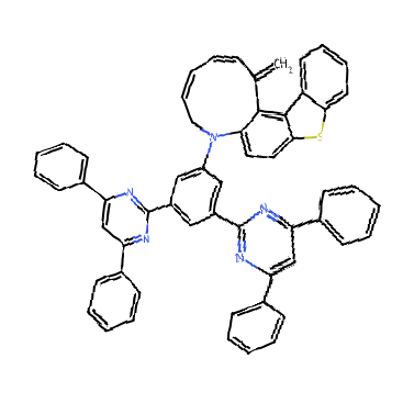 C=C1/C=C\C=C/CN(c2cc(-c3nc(-c4ccccc4)cc(-c4ccccc4)n3)cc(-c3nc(-c4ccccc4)cc(-c4ccccc4)n3)c2)c2ccc3sc4ccccc4c3c21